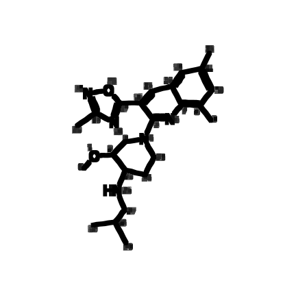 COC1CN(c2nc3c(C)cc(C)cc3cc2-c2nc(C)no2)CCC1NCC(C)C